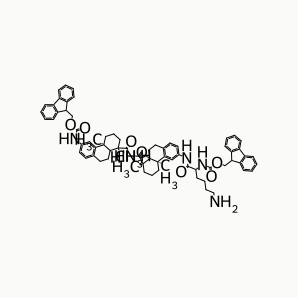 C[C@]1(C(=O)NC(=O)[C@@]2(C)CCC[C@]3(C)c4cc(NC(=O)C(CCCCN)NC(=O)OCC5c6ccccc6-c6ccccc65)ccc4CC[C@@H]23)CCC[C@]2(C)c3cc(NC(=O)OCC4c5ccccc5-c5ccccc54)ccc3CC[C@@H]12